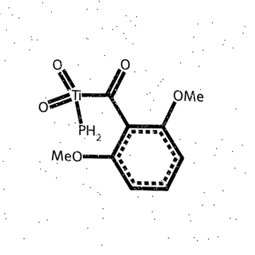 COc1cccc(OC)c1[C](=O)[Ti](=[O])(=[O])[PH2]